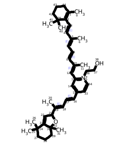 CC1=C(/C=C/C(C)=C/C=C/C(C)=C/c2cc(/C=C/C=C(\C)C3C=C4C(C)(C)CCCC4(C)O3)cc[n+]2CCO)C(C)(C)CCC1